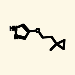 CC1(CCOc2cn[nH]c2)CC1